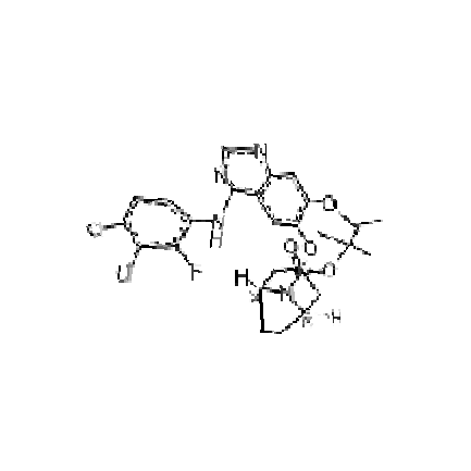 CCOc1cc2ncnc(Nc3ccc(Cl)c(Cl)c3F)c2cc1O[C@@H]1C[C@H]2CC[C@@H](C1)N2C(=O)OC(C)(C)C